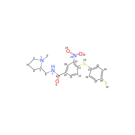 CN1CCCC1CNC(=O)c1ccc(Sc2ccc(F)cc2)c([N+](=O)[O-])c1